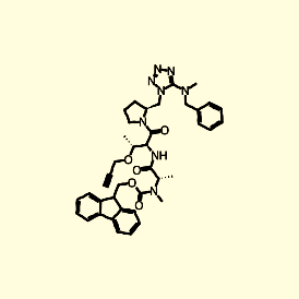 C#CCO[C@H](C)[C@H](NC(=O)[C@H](C)N(C)C(=O)OCC1c2ccccc2-c2ccccc21)C(=O)N1CCC[C@H]1Cn1nnnc1N(C)Cc1ccccc1